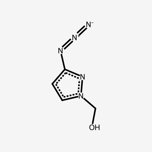 [N-]=[N+]=Nc1ccn(CO)n1